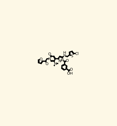 CN(C)c1cn(CC(=O)c2ccco2)c(=O)cc1-c1cc(NCc2ccc(Cl)s2)n(C(=O)c2cccc(C(=O)O)c2)n1